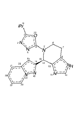 CC(C)c1nnc(N2CCc3[nH]cnc3[C@H]2c2cc3ccccn3n2)o1